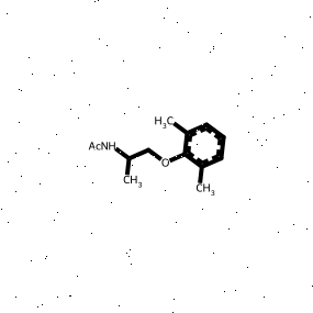 CC(=O)NC(C)COc1c(C)cccc1C